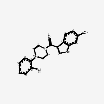 O=C(C1CNc2cc(Cl)ccc21)N1CCN(c2ccccc2Cl)CC1